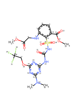 COC(=O)CNc1cccc(C(=O)OC)c1S(=O)(=O)NC(=O)Nc1nc(OCC(F)(F)F)nc(N(C)C)n1